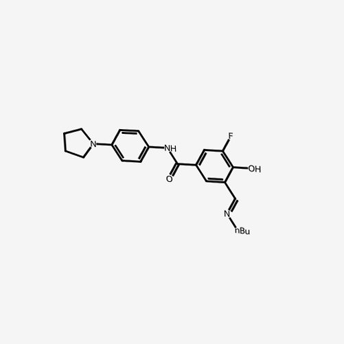 CCCC/N=C/c1cc(C(=O)Nc2ccc(N3CCCC3)cc2)cc(F)c1O